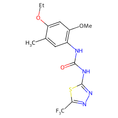 CCOc1cc(OC)c(NC(=O)Nc2nnc(C(F)(F)F)s2)cc1C